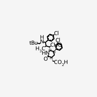 CC(C(NCC(C)(C)C)c1ccc(Cl)cc1)C(C=O)[C@H]1NC(=O)[C@@H](CC(=O)O)C[C@@H]1c1cccc(Cl)c1